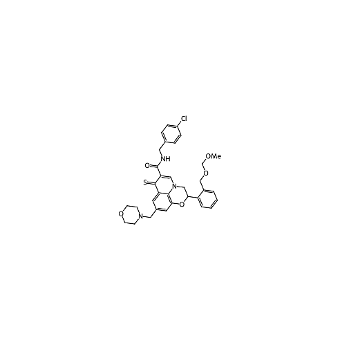 COCOCc1ccccc1C1Cn2cc(C(=O)NCc3ccc(Cl)cc3)c(=S)c3cc(CN4CCOCC4)cc(c32)O1